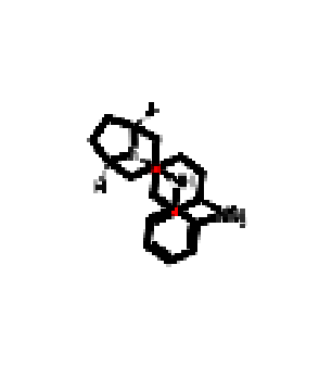 CC(C)(C)[C@H]1CC[C@H](N2[C@@H]3CC[C@H]2C[C@@H](Nc2ccccc2[N+](=O)[O-])C3)CC1